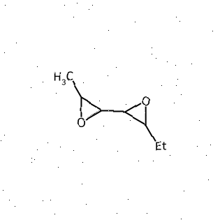 [CH2]CC1OC1C1OC1C